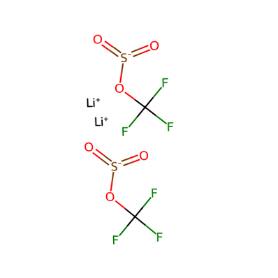 O=[S-](=O)OC(F)(F)F.O=[S-](=O)OC(F)(F)F.[Li+].[Li+]